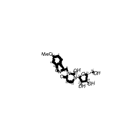 COc1ccc2c(CN3C(=O)C=CN([C@@H]4O[C@H](CO)[C@H](O)[C@@H]4O)C3O)noc2c1